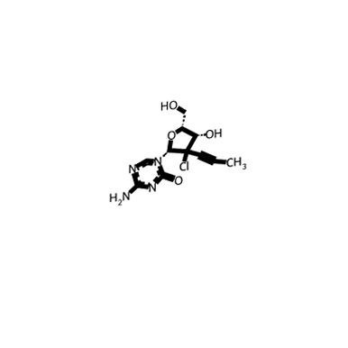 CC#CC1(Cl)[C@@H](O)[C@@H](CO)O[C@H]1n1cnc(N)nc1=O